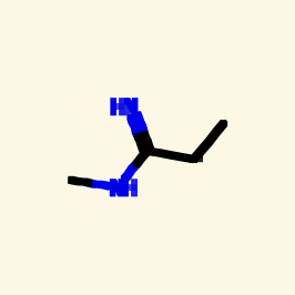 C[CH]C(=N)NC